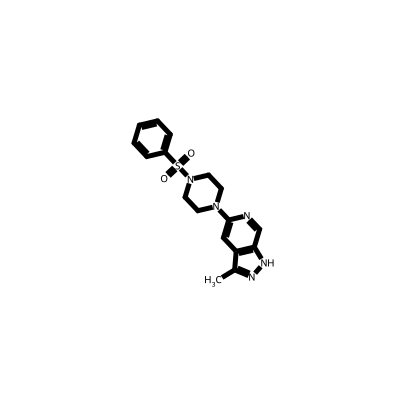 Cc1n[nH]c2cnc(N3CCN(S(=O)(=O)c4ccccc4)CC3)cc12